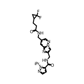 CC(C)n1nccc1C(=O)NCc1cn2ncc(CNC(=O)CCC3CC3(F)F)cc2n1